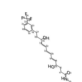 CNC(=O)CCC(O)C=CC=CC=CC(O)CCc1cccc(C(F)(F)F)c1